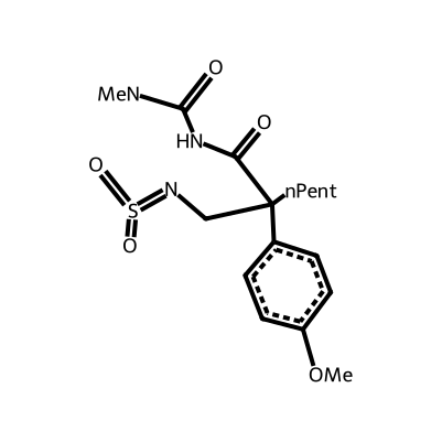 CCCCCC(CN=S(=O)=O)(C(=O)NC(=O)NC)c1ccc(OC)cc1